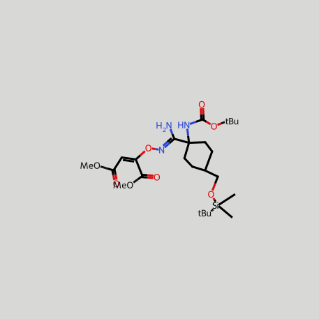 COC(=O)C=C(ON=C(N)C1(NC(=O)OC(C)(C)C)CCC(CO[Si](C)(C)C(C)(C)C)CC1)C(=O)OC